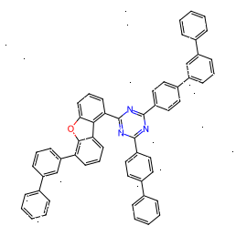 c1ccc(-c2ccc(-c3nc(-c4ccc(-c5cccc(-c6ccccc6)c5)cc4)nc(-c4cccc5oc6c(-c7cccc(-c8ccccc8)c7)cccc6c45)n3)cc2)cc1